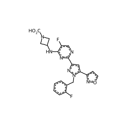 O=C(O)N1CC(Nc2nc(-c3cc(-c4ccon4)n(Cc4ccccc4F)n3)ncc2F)C1